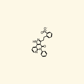 O=c1c2c(CCc3ccccc3[N+](=O)[O-])n[nH]c2c2cccnc2n1-c1ccccc1